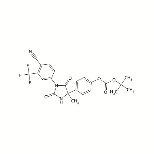 CC(C)(C)OC(=O)Oc1ccc(C2(C)NC(=O)N(c3ccc(C#N)c(C(F)(F)F)c3)C2=O)cc1